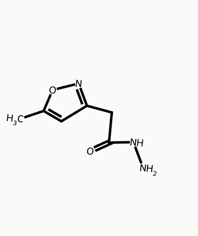 Cc1cc(CC(=O)NN)no1